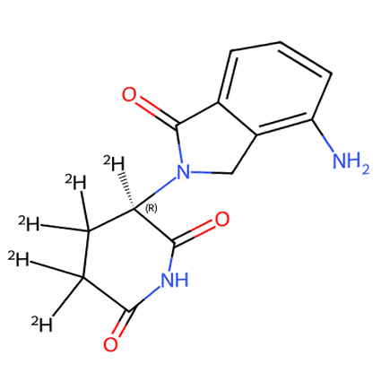 [2H]C1([2H])C(=O)NC(=O)[C@]([2H])(N2Cc3c(N)cccc3C2=O)C1([2H])[2H]